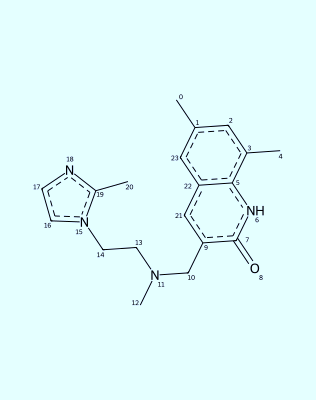 Cc1cc(C)c2[nH]c(=O)c(CN(C)CCn3ccnc3C)cc2c1